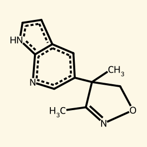 CC1=NOCC1(C)c1cnc2[nH]ccc2c1